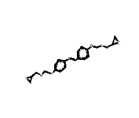 C(=Nc1ccc(OCOCC2CO2)cc1)c1ccc(OCOCC2CO2)cc1